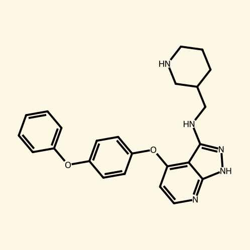 c1ccc(Oc2ccc(Oc3ccnc4[nH]nc(NCC5CCCNC5)c34)cc2)cc1